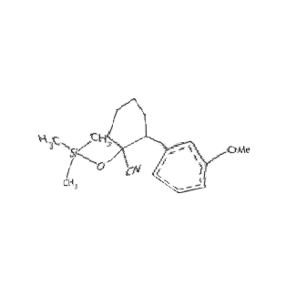 COc1cccc(C2CCCCC2(C#N)O[Si](C)(C)C)c1